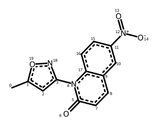 Cc1cc(-n2c(=O)ccc3cc([N+](=O)[O-])ccc32)no1